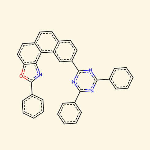 c1ccc(-c2nc(-c3ccccc3)nc(-c3ccc4ccc5ccc6oc(-c7ccccc7)nc6c5c4c3)n2)cc1